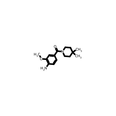 COc1cc(C(=O)N2CCC(C)(C)CC2)ccc1N